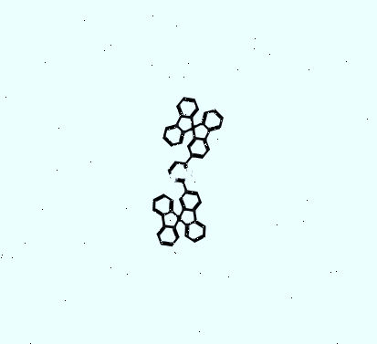 c1ccc2c(c1)-c1ccccc1C21c2ccccc2-c2ccc(-c3ccnc(-c4ccc5c(c4)C4(c6ccccc6-c6ccccc64)c4ccccc4-5)n3)cc21